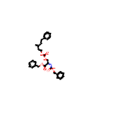 CC(CCOC(=O)OCC(NC(=O)OCc1ccccc1)C(=O)OCc1ccccc1)CCc1ccccc1